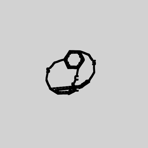 c1c2cc3cc1CSCc1cc(cc(c1)SC3)CSC2